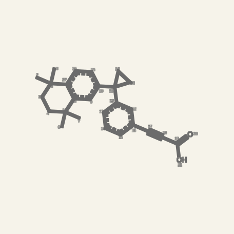 CC1(C)CCC(C)(C)c2cc(C3(c4cccc(C#CC(=O)O)c4)CC3)ccc21